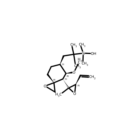 C=C[C@H]1OC1(C)[C@H]1[C@H](OC)[C@H](CC(C)(C)[Si](C)(C)O)CC[C@]12CO2